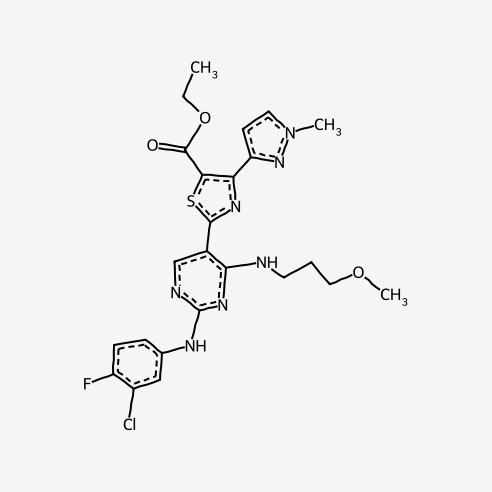 CCOC(=O)c1sc(-c2cnc(Nc3ccc(F)c(Cl)c3)nc2NCCCOC)nc1-c1ccn(C)n1